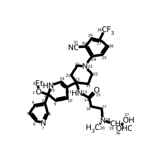 CCOC1(c2cccnc2)C=CC(C2(NC(=O)CCN(C)C)CCN(c3ccc(C(F)(F)F)cc3C#N)CC2)=CN1.O=CO